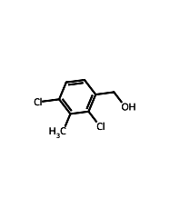 Cc1c(Cl)ccc(CO)c1Cl